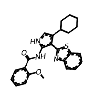 COc1ccccc1C(=O)Nc1[nH]cc(C2CCCCC2)c1-c1nc2ccccc2s1